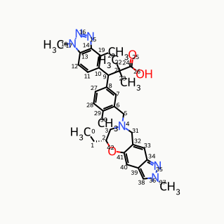 CC[C@@H]1CN(Cc2cc(C(c3ccc4c(nnn4C)c3C)C(C)(C)C(=O)O)ccc2C)Cc2cc3nn(C)cc3cc2O1